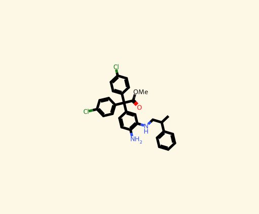 COC(=O)C(c1ccc(Cl)cc1)(c1ccc(Cl)cc1)c1ccc(N)c(NCC(C)c2ccccc2)c1